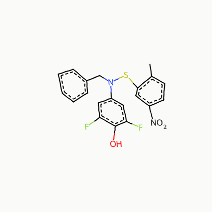 Cc1ccc([N+](=O)[O-])cc1SN(Cc1ccccc1)c1cc(F)c(O)c(F)c1